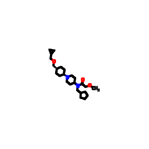 COCC(=O)N(CC1CCCC1)C1CCN([C@H]2CC[C@@H](COCC3CC3)CC2)CC1